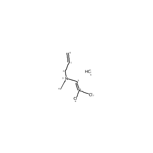 C=CCN(C)C=C(Cl)Cl.Cl